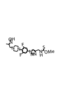 COC(=S)NCc1cn(-c2cc(F)c(N3CCN(CC(C)=NO)CC3)c(F)c2)nn1